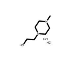 CN1CCN(CCO)CC1.Cl.Cl